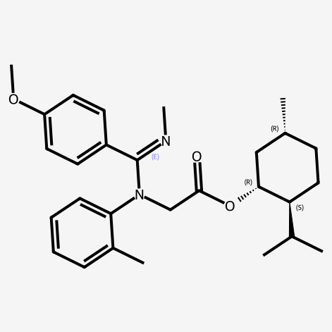 C/N=C(\c1ccc(OC)cc1)N(CC(=O)O[C@@H]1C[C@H](C)CC[C@H]1C(C)C)c1ccccc1C